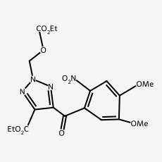 CCOC(=O)OCn1nc(C(=O)OCC)c(C(=O)c2cc(OC)c(OC)cc2[N+](=O)[O-])n1